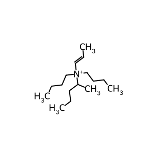 CC=C[N+](CCCC)(CCCC)C(C)CCC